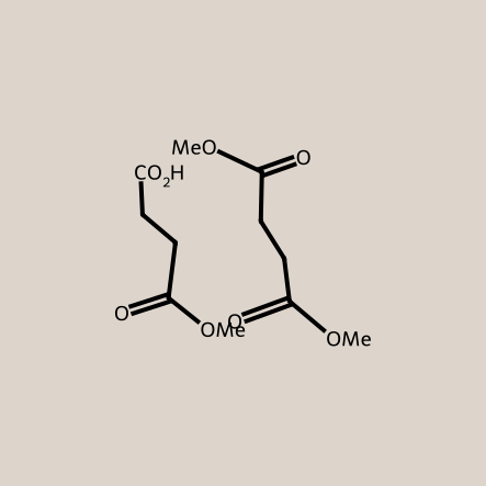 COC(=O)CCC(=O)O.COC(=O)CCC(=O)OC